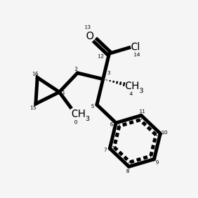 CC1(C[C@](C)(Cc2ccccc2)C(=O)Cl)CC1